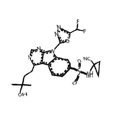 CC(C)(O)CCc1ncnc2c1c1ccc(S(=O)(=O)NC3(C#N)CC3)cc1n2-c1nnc(C(F)F)s1